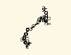 Cc1ncsc1-c1ccc(CNC(=O)[C@@H]2C[C@@H](O)CN2C(=O)C(NC(=O)COCCCOCCOc2cccc(-c3ccc(N4C(=O)N(c5ccc(C#N)c(C(F)(F)F)c5)C(=O)C4(C)C)cc3)c2)C(C)(C)C)cc1